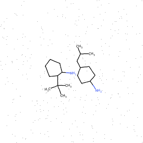 CC(C)(C)C1CCCCC1N.CC(C)CC1CCC(N)CC1